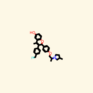 CC1=C(c2ccc(CF)cc2)C(c2ccc(OCC(C)N3CCC(C)C3)cc2)Oc2ccc(O)cc21